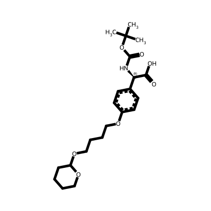 CC(C)(C)OC(=O)N[C@@H](C(=O)O)c1ccc(OCCCCOC2CCCCO2)cc1